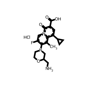 Cc1c(N2CCOC(CN)C2)c(F)cn2c(=O)c(C(=O)O)cc(C3CC3)c12.Cl